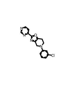 Clc1cccc(N2CCc3oc(-c4ccncn4)nc3C2)c1